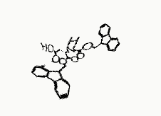 O=C(O)C[C@H](NC(=O)OCC1c2ccccc2-c2ccccc21)C(=O)OCC1c2ccccc2-c2ccccc21